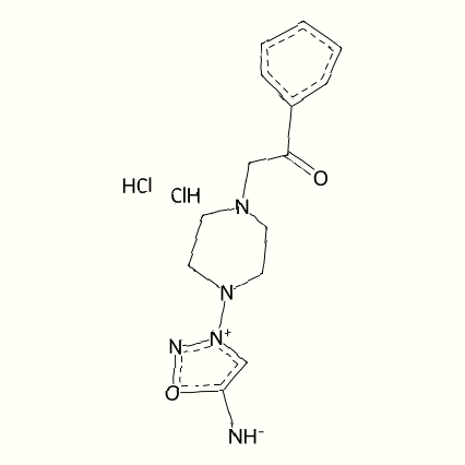 Cl.Cl.[NH-]c1c[n+](N2CCN(CC(=O)c3ccccc3)CC2)no1